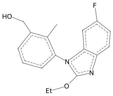 CCOc1nc2ccc(F)cc2n1-c1cccc(CO)c1C